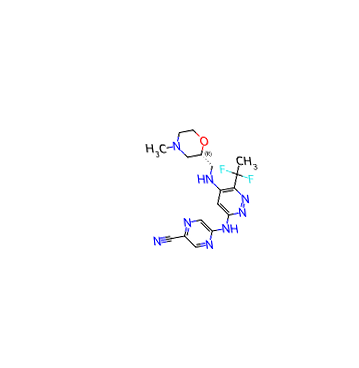 CN1CCO[C@H](CNc2cc(Nc3cnc(C#N)cn3)nnc2C(C)(F)F)C1